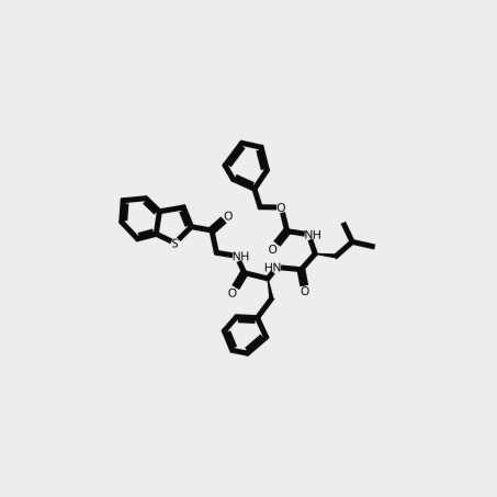 CC(C)C[C@H](NC(=O)OCc1ccccc1)C(=O)N[C@@H](Cc1ccccc1)C(=O)NCC(=O)c1cc2ccccc2s1